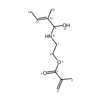 C=C(C)C(=O)OCCNC(O)C(C)=CC